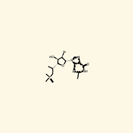 C=P(C)(C)CC(C)[C@H]1O[C@@H](n2cnc3c(=O)[nH]c(C)nc32)[C@H](Br)[C@@H]1O